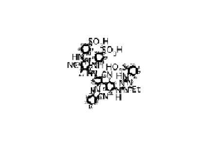 CCc1nc(Nc2ccc(-c3c(/N=N/c4ccccc4C#N)sc(/N=N/c4c(Nc5ccc(S(=O)(=O)O)cc5)nc(Nc5ccc(S(=O)(=O)O)cc5)c(C#N)c4C)c3C#N)cc2)nc(Nc2ccccc2S(=O)(=O)O)n1